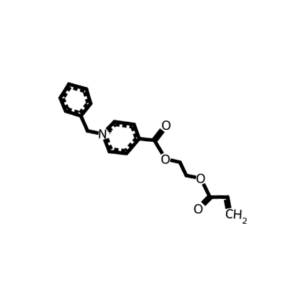 C=CC(=O)OCCOC(=O)c1cc[n+](Cc2ccccc2)cc1